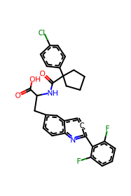 O=C(O)C(Cc1ccc2nc(-c3c(F)cccc3F)ccc2c1)NC(=O)C1(c2ccc(Cl)cc2)CCCC1